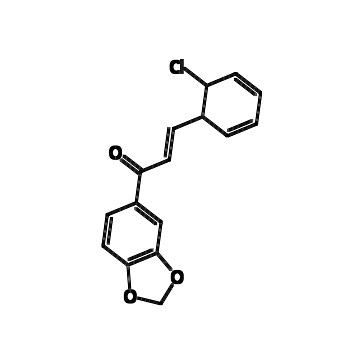 O=C(C=CC1C=CC=CC1Cl)c1ccc2c(c1)OCO2